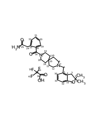 CC1(C)Cc2c(CN3CCC4(CC3)CCN(C(=O)c3ccccc3CC(N)=O)CC4)cccc2O1.O=C(O)C(F)(F)F